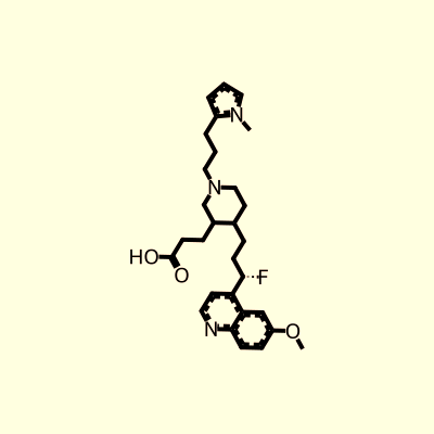 COc1ccc2nccc([C@@H](F)CCC3CCN(CCCc4cccn4C)CC3CCC(=O)O)c2c1